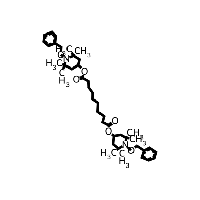 CC1(C)CC(OC(=O)CCCCCCCCC(=O)OC2CC(C)(C)N(OCc3ccccc3)C(C)(C)C2)CC(C)(C)N1OCc1ccccc1